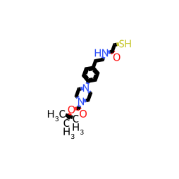 CC(C)(C)OC(=O)N1CCN(c2ccc(CCNC(=O)CS)cc2)CC1